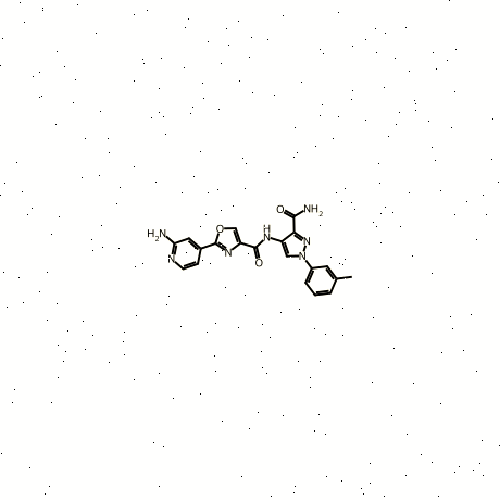 Cc1cccc(-n2cc(NC(=O)c3coc(-c4ccnc(N)c4)n3)c(C(N)=O)n2)c1